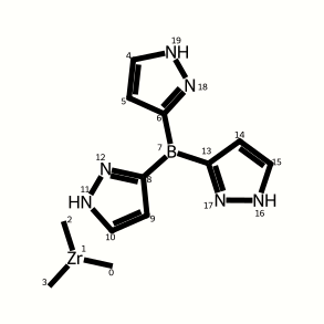 [CH3][Zr]([CH3])[CH3].c1cc(B(c2cc[nH]n2)c2cc[nH]n2)n[nH]1